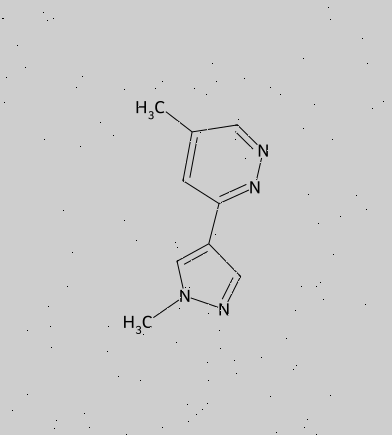 Cc1cnnc(-c2cnn(C)c2)c1